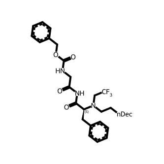 CCCCCCCCCCCCN(CC(F)(F)F)[C@@H](Cc1ccccc1)C(=O)NC(=O)CNC(=O)OCc1ccccc1